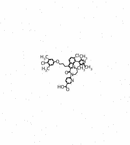 Cc1cc(OCCCc2c3n(c4c(-c5c(C)nn(C)c5C)c(Cl)ccc24)CCCN(c2ccc(C(=O)O)cn2)C3=O)cc(C)c1Cl